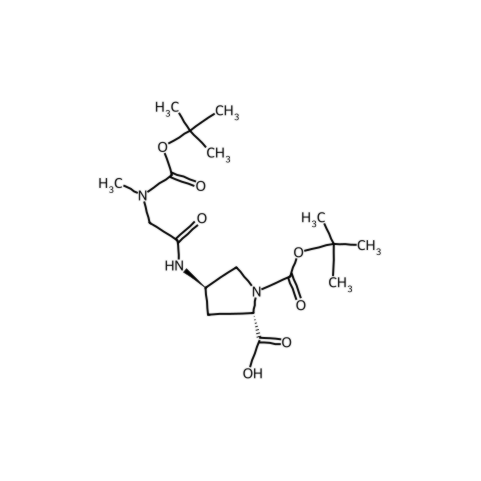 CN(CC(=O)N[C@@H]1C[C@@H](C(=O)O)N(C(=O)OC(C)(C)C)C1)C(=O)OC(C)(C)C